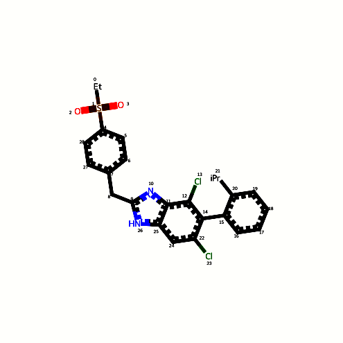 CCS(=O)(=O)c1ccc(Cc2nc3c(Cl)c(-c4ccccc4C(C)C)c(Cl)cc3[nH]2)cc1